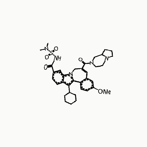 COc1ccc2c(c1)C=C(C(=O)N1CCN3CCCC3C1)Cn1c-2c(C2CCCCC2)c2ccc(C(=O)NS(=O)(=O)N(C)C)cc21